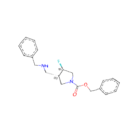 O=C(OCc1ccccc1)N1C[C@H](CNCc2ccccc2)[C@@H](F)C1